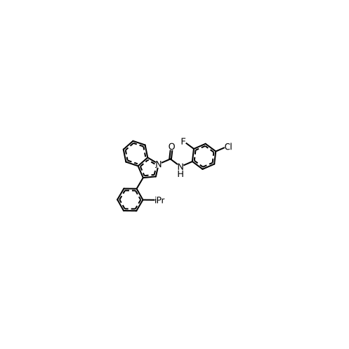 CC(C)c1ccccc1-c1cn(C(=O)Nc2ccc(Cl)cc2F)c2ccccc12